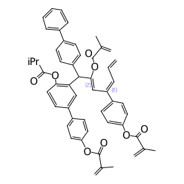 C=C/C=C(\C=C(/OC(=O)C(=C)C)C(c1ccc(-c2ccccc2)cc1)c1cc(-c2ccc(OC(=O)C(=C)C)cc2)ccc1OC(=O)C(C)C)c1ccc(OC(=O)C(=C)C)cc1